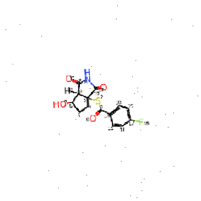 O=C(S[C@@]12CC[C@@H](O)[C@@H]1C(=O)NC2=O)c1ccc(F)cc1